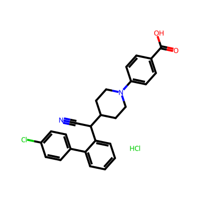 Cl.N#CC(c1ccccc1-c1ccc(Cl)cc1)C1CCN(c2ccc(C(=O)O)cc2)CC1